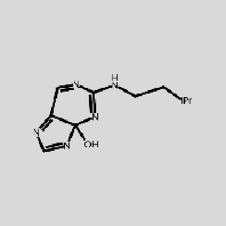 CC(C)CCNC1=NC2(O)N=CN=C2C=N1